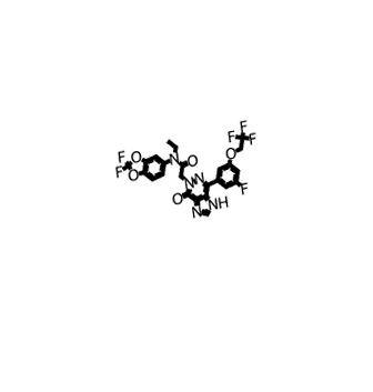 CCN(C(=O)Cn1nc(-c2cc(F)cc(OCC(F)(F)F)c2)c2[nH]cnc2c1=O)c1ccc2c(c1)OC(F)(F)O2